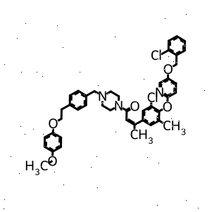 COc1ccc(OCCc2ccc(CN3CCN(C(=O)C=C(C)c4cc(C)c(Oc5ccc(OCc6ccccc6Cl)cn5)c(Cl)c4)CC3)cc2)cc1